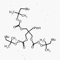 CCCCCC(COC(=O)OOC(C)(C)CC(C)(C)C)(COC(=O)OOC(C)(C)CC(C)(C)C)COC(=O)OOC(C)(C)CC(C)(C)C